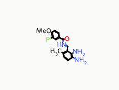 COc1ccc(C(=O)NCc2c(C)ccc(N)c2N)cc1F